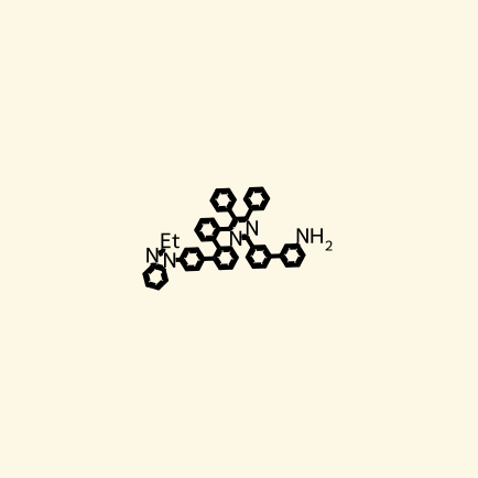 CCc1nc2ccccc2n1-c1ccc(-c2ccccc2-c2ccccc2-c2nc(-c3cccc(-c4cccc(N)c4)c3)nc(-c3ccccc3)c2-c2ccccc2)cc1